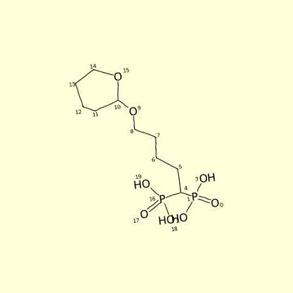 O=P(O)(O)C(CCCCOC1CCCCO1)P(=O)(O)O